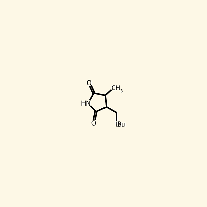 CC1C(=O)NC(=O)C1CC(C)(C)C